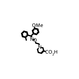 COc1cccc(/C(=N\OCCN2CCC=C(C(=O)O)C2)c2ccccc2C)c1